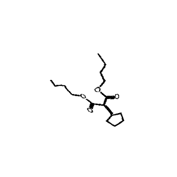 CCCCOC(=O)C(C(=O)OCCCC)=C1CCCC1